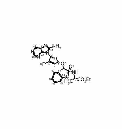 CCOC(=O)[C@H](C)NP(=O)(CO[C@@H]1C=C(F)[C@@H](n2c(N)nc3cncnc32)O1)Oc1ccccc1